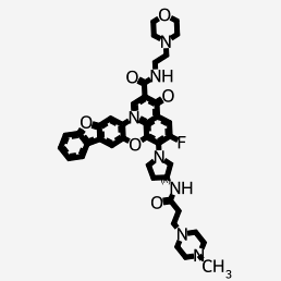 CN1CCN(CCC(=O)N[C@@H]2CCN(c3c(F)cc4c(=O)c(C(=O)NCCN5CCOCC5)cn5c4c3Oc3cc4c(cc3-5)oc3ccccc34)C2)CC1